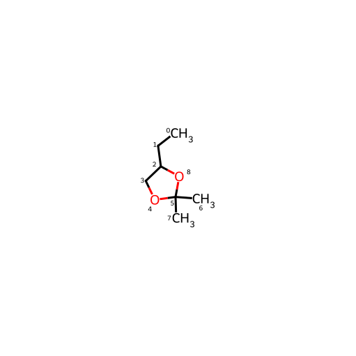 CCC1COC(C)(C)O1